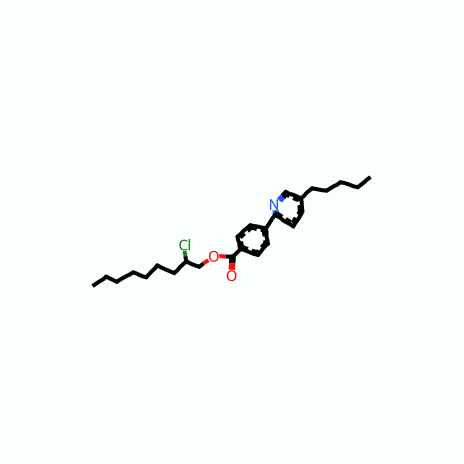 CCCCCCCC(Cl)COC(=O)c1ccc(-c2ccc(CCCCC)cn2)cc1